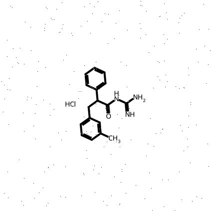 Cc1cccc(CC(C(=O)NC(=N)N)c2ccccc2)c1.Cl